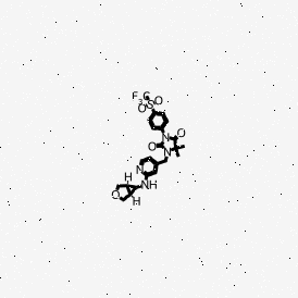 CC1(C)C(=O)N(c2ccc(S(=O)(=O)C(F)(F)F)cc2)C(=O)N1Cc1ccnc(NC2[C@H]3COC[C@@H]23)c1